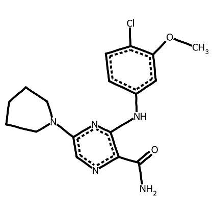 COc1cc(Nc2nc(N3CCCCC3)cnc2C(N)=O)ccc1Cl